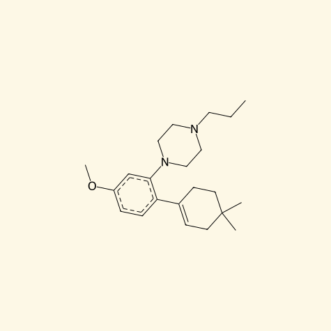 CCCN1CCN(c2cc(OC)ccc2C2=CCC(C)(C)CC2)CC1